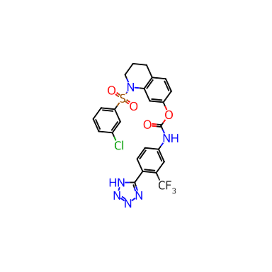 O=C(Nc1ccc(-c2nnn[nH]2)c(C(F)(F)F)c1)Oc1ccc2c(c1)N(S(=O)(=O)c1cccc(Cl)c1)CCC2